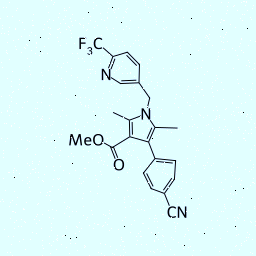 COC(=O)c1c(-c2ccc(C#N)cc2)c(C)n(Cc2ccc(C(F)(F)F)nc2)c1C